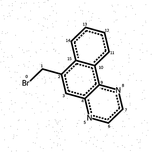 BrCc1cc2nccnc2c2ccccc12